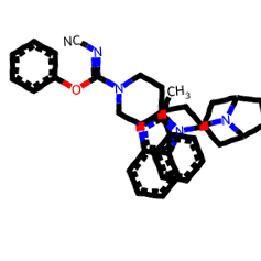 Cc1nc2ccccc2n1C1CC2CCC(C1)N2CCC1(c2ccccc2)CCN(C(=NC#N)Oc2ccccc2)CC1